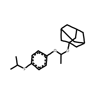 CC(Oc1ccc(SC(C)C)cc1)OC12CC3CC(CC(C3)C1)C2